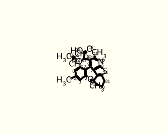 COc1cc(C)ccc1-c1c(C(OC(C)(C)C)C(=O)O)c(C)nc2sc3c(c12)CCCC3